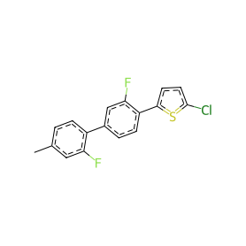 Cc1ccc(-c2ccc(-c3ccc(Cl)s3)c(F)c2)c(F)c1